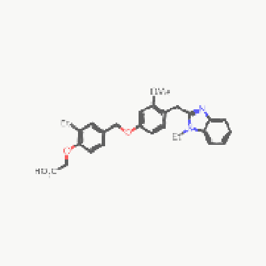 CCc1cc(COc2ccc(Cc3nc4ccccc4n3CC)c(OC)c2)ccc1OCC(=O)O